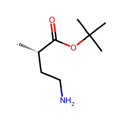 [CH2][C@@H](CCN)C(=O)OC(C)(C)C